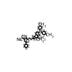 Cc1ccc(N(c2ccc(C)cc2)c2ccc3c(n2)C(C)(C)c2cc(/C=C/C4=CC(=C(C#N)C#N)C=C(c5ccccc5)O4)sc2-3)cc1